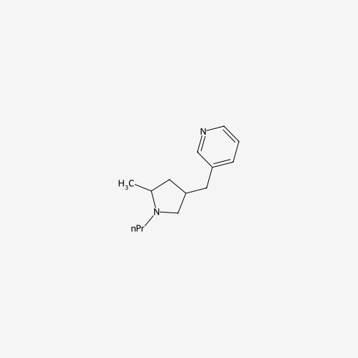 CCCN1CC(Cc2cccnc2)CC1C